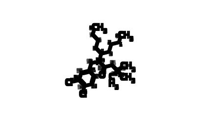 CCCCC(CCCC)N(Cc1ccc(Cl)c(Cl)c1)C(=O)CC(C)(C)C